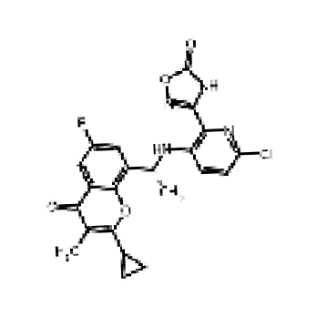 Cc1c(C2CC2)oc2c([C@@H](C)Nc3ccc(Cl)nc3-c3noc(=O)[nH]3)cc(F)cc2c1=O